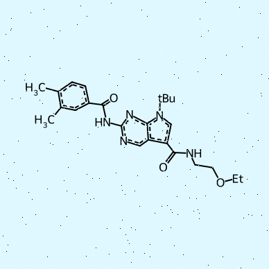 CCOCCNC(=O)c1cn(C(C)(C)C)c2nc(NC(=O)c3ccc(C)c(C)c3)ncc12